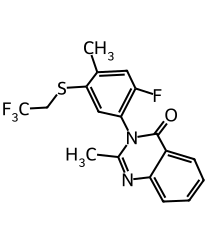 Cc1cc(F)c(-n2c(C)nc3ccccc3c2=O)cc1SCC(F)(F)F